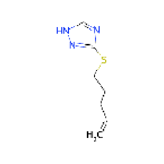 C=CCCCSc1nc[nH]n1